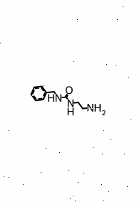 NCCNC(=O)NCc1ccccc1